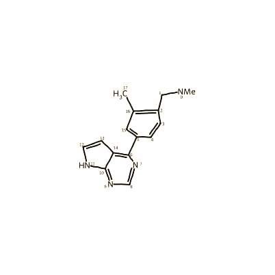 CNCc1ccc(-c2ncnc3[nH]ccc23)cc1C